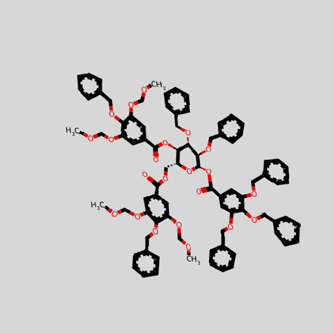 COCOc1cc(C(=O)OC[C@H]2O[C@H](OC(=O)c3cc(OCc4ccccc4)c(OCc4ccccc4)c(OCc4ccccc4)c3)[C@H](OCc3ccccc3)[C@@H](OCc3ccccc3)[C@@H]2OC(=O)c2cc(OCOC)c(OCc3ccccc3)c(OCOC)c2)cc(OCOC)c1OCc1ccccc1